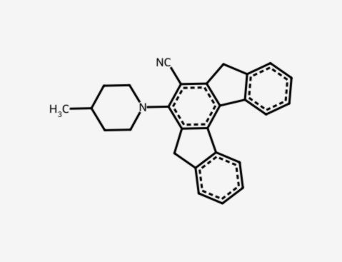 CC1CCN(c2c(C#N)c3c(c4c2Cc2ccccc2-4)-c2ccccc2C3)CC1